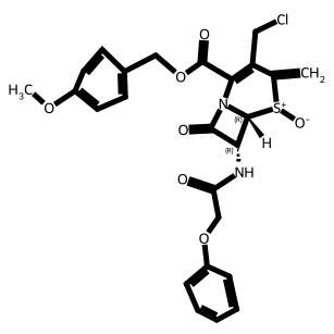 C=C1C(CCl)=C(C(=O)OCc2ccc(OC)cc2)N2C(=O)[C@@H](NC(=O)COc3ccccc3)[C@H]2[S+]1[O-]